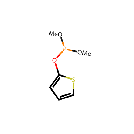 COP(OC)Oc1cccs1